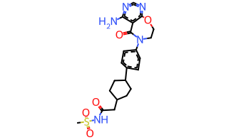 CS(=O)(=O)NC(=O)CC1CCC(c2ccc(N3CCOc4ncnc(N)c4C3=O)cc2)CC1